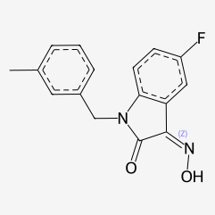 Cc1cccc(CN2C(=O)/C(=N\O)c3cc(F)ccc32)c1